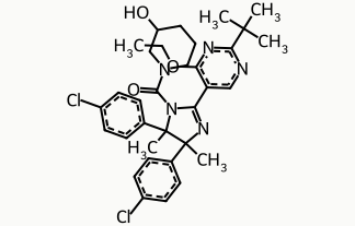 CCOc1nc(C(C)(C)C)ncc1C1=NC(C)(c2ccc(Cl)cc2)C(C)(c2ccc(Cl)cc2)N1C(=O)N1CCCC(O)C1